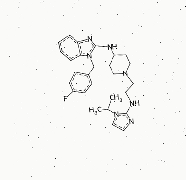 CC(C)n1ccnc1NCCN1CCC(Nc2nc3ccccc3n2Cc2ccc(F)cc2)CC1